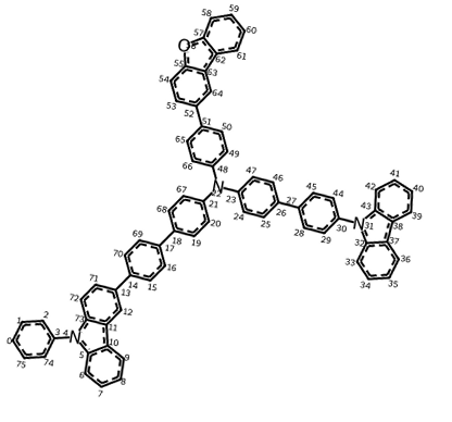 c1ccc(-n2c3ccccc3c3cc(-c4ccc(-c5ccc(N(c6ccc(-c7ccc(-n8c9ccccc9c9ccccc98)cc7)cc6)c6ccc(-c7ccc8oc9ccccc9c8c7)cc6)cc5)cc4)ccc32)cc1